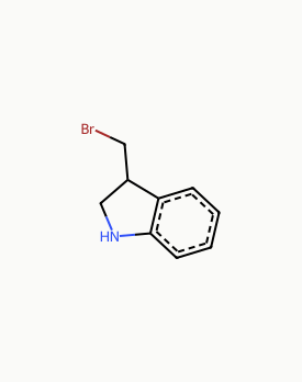 BrCC1CNc2ccccc21